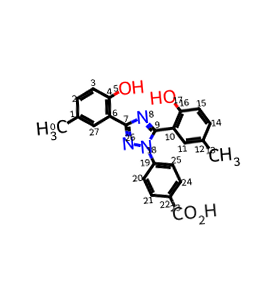 Cc1ccc(O)c(-c2nc(-c3cc(C)ccc3O)n(-c3ccc(C(=O)O)cc3)n2)c1